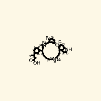 CC(CC(=O)O)c1cccc(C2CCCCCN(C)C(=O)CCc3c(c(F)cc4[nH]ccc34)Oc3ccc(F)c(c3)-c3ncc2[nH]3)c1